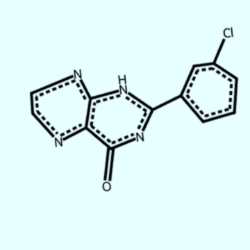 O=c1nc(-c2cccc(Cl)c2)[nH]c2nccnc12